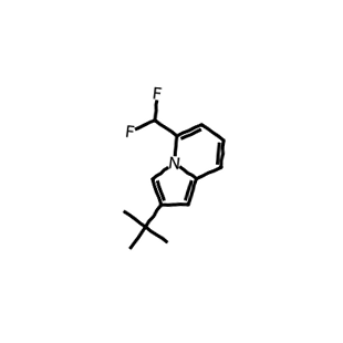 CC(C)(C)c1cc2cccc(C(F)F)n2c1